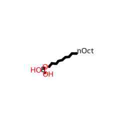 CCCCCCCCCCCCCCCCCOB(O)O